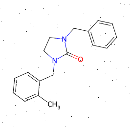 Cc1ccccc1CN1CCN(Cc2ccccc2)C1=O